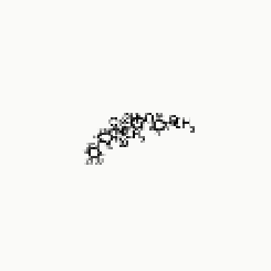 CCC(C)(c1ccc(Oc2cccc(OC)c2)cc1)N1C(=O)c2ccc(-c3ccccc3)cc2C1=O